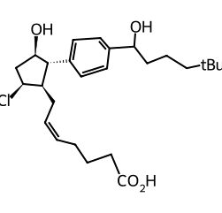 CC(C)(C)CCCC(O)c1ccc([C@@H]2[C@@H](C/C=C\CCCC(=O)O)[C@@H](Cl)C[C@H]2O)cc1